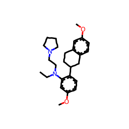 CCN(CCN1CCCC1)c1cc(OC)ccc1C1CCc2cc(OC)ccc2C1